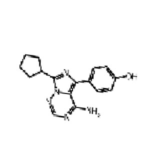 Nc1ncnn2c(C3CCCC3)nc(-c3ccc(O)cc3)c12